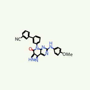 COc1ccc(Nc2ncc3c4n[nH]cc4c(=O)n(-c4cccc(-c5cccc(C#N)c5)c4)c3n2)cc1